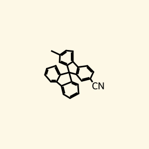 Cc1ccc2c(c1)C1(c3ccccc3-c3ccccc31)c1cc(C#N)ccc1-2